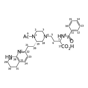 CC(=O)N1CCN(CCC(NC(=O)c2ccccc2)C(=O)O)C[C@@H]1CCc1ccc2c(n1)NCCC2